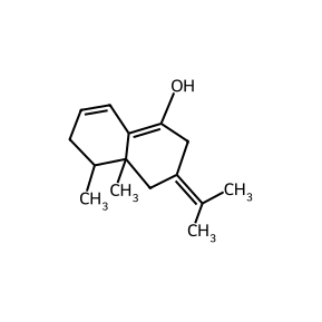 CC(C)=C1CC(O)=C2C=CCC(C)C2(C)C1